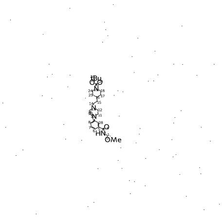 COCNC(=O)c1cccc(N2CCN(CCC3CCN(C(=O)OC(C)(C)C)CC3)CC2)c1